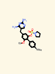 CCOc1cc(Cc2cnc(N)nc2N)cc(OS(=O)(=O)N2CCCC2)c1-c1ccc(NC)cc1